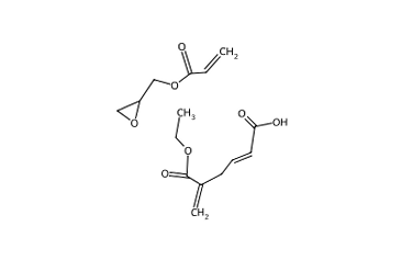 C=C(CC=CC(=O)O)C(=O)OCC.C=CC(=O)OCC1CO1